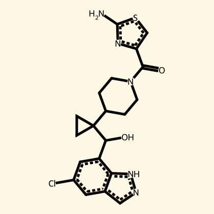 Nc1nc(C(=O)N2CCC(C3(C(O)c4cc(Cl)cc5cn[nH]c45)CC3)CC2)cs1